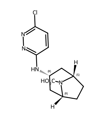 O=C(O)N1[C@@H]2CC[C@H]1C[C@@H](Nc1ccc(Cl)nn1)C2